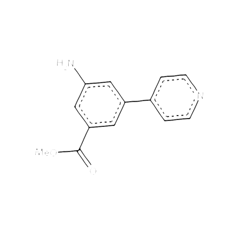 COC(=O)c1cc(N)cc(-c2ccncc2)c1